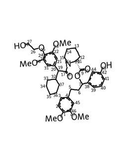 COc1ccc(CCC(OC(=O)[C@H]2CCCCN2C(=O)C(c2cc(OC)c(OCCO)c(OC)c2)C2CCCCC2)c2cccc(O)c2)cc1OC